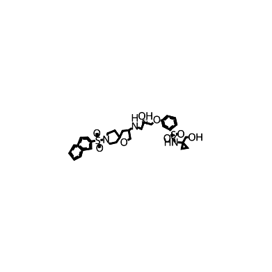 O=S(=O)(NC1(CO)CC1)c1cccc(OC[C@@H](O)CNC2COC3(CCN(S(=O)(=O)c4ccc5ccccc5c4)CC3)C2)c1